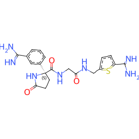 N=C(N)c1cccc([C@]2(C(=O)NCC(=O)NCc3ccc(C(=N)N)s3)CCC(=O)N2)c1